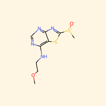 COCCNc1ncnc2nc([S+](C)[O-])sc12